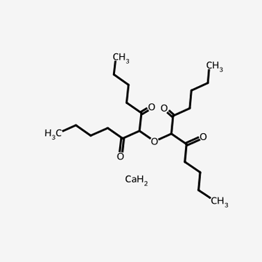 CCCCC(=O)C(OC(C(=O)CCCC)C(=O)CCCC)C(=O)CCCC.[CaH2]